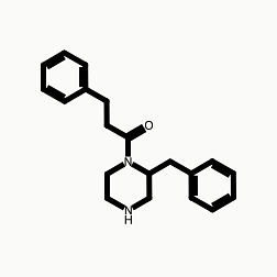 O=C(CCc1ccccc1)N1CCNCC1Cc1ccccc1